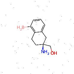 Bc1cccc2c1CC[C@@](N)(CO)C2